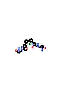 COc1nc(-c2cccc(-c3cccc(-c4ccc5c(c4)OCCC5NCC4CCC(=O)N4)c3Cl)c2Cl)ccc1CNCC1CCC(=O)N1